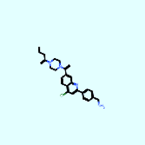 C=C(CCC)N1CCN(C(=C)c2ccc3c(Cl)cc(-c4ccc(CN)cc4)nc3c2)CC1